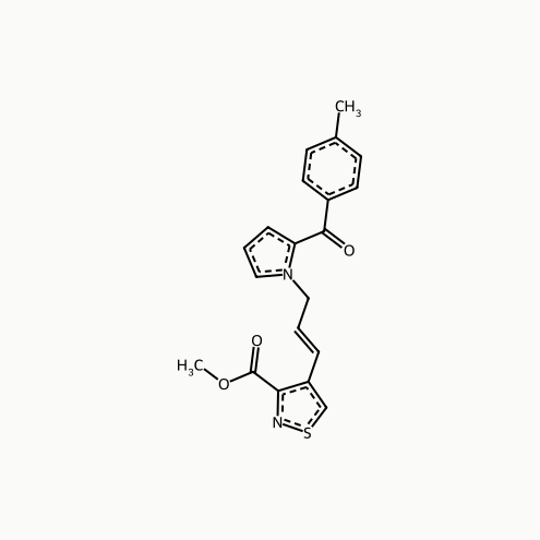 COC(=O)c1nscc1C=CCn1cccc1C(=O)c1ccc(C)cc1